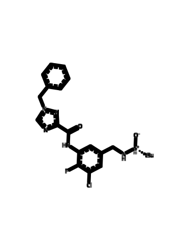 CC(C)(C)[S@@+]([O-])NCc1cc(Cl)c(F)c(NC(=O)c2ncn(Cc3ccccc3)n2)c1